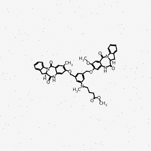 COC(=O)CCCN(C)c1cc(COc2cc3c(cc2C)C(=O)N2c4ccccc4C[C@H]2C(=O)N3)cc(COc2cc3c(cc2OC)C(=O)N2c4ccccc4C[C@H]2C(=O)N3)c1